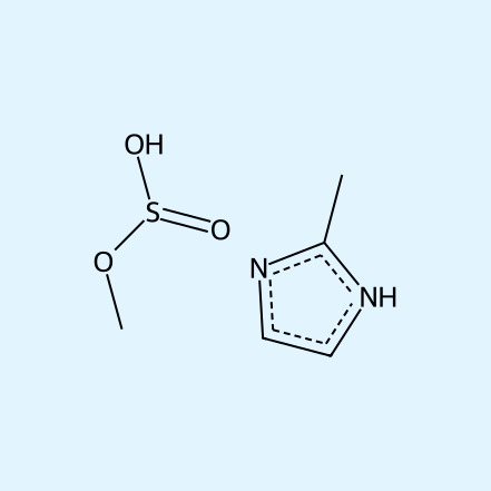 COS(=O)O.Cc1ncc[nH]1